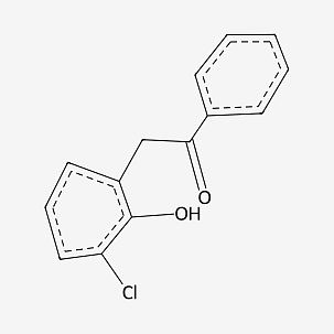 O=C(Cc1cccc(Cl)c1O)c1ccccc1